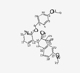 COc1ccc(COc2ncccc2C2Cc3ccc(OC)cc3C(C)(C)C2=O)cc1